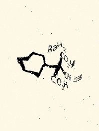 CC(C(=O)O)(C(=O)O)C1CCCCC1.[BaH2]